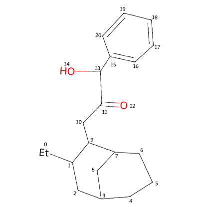 CCC1CC2CCCC(C2)C1CC(=O)C(O)c1ccccc1